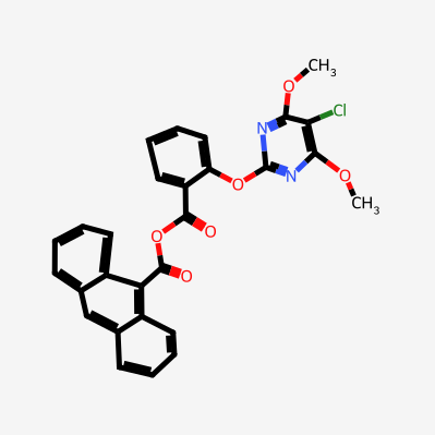 COc1nc(Oc2ccccc2C(=O)OC(=O)c2c3ccccc3cc3ccccc23)nc(OC)c1Cl